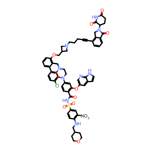 O=C1CCC(N2Cc3c(C#CCCCN4CC(COc5cccc(-c6ccc(Cl)cc6)c5CN5CCN(c6ccc(C(=O)NS(=O)(=O)c7ccc(NCC8CCOCC8)c([N+](=O)[O-])c7)c(Oc7cnc8[nH]ccc8c7)c6)CC5)C4)cccc3C2=O)C(=O)N1